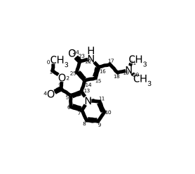 CCOC(=O)c1cc2ccccn2c1-c1cc(CCN(C)C)[nH]c(=O)c1